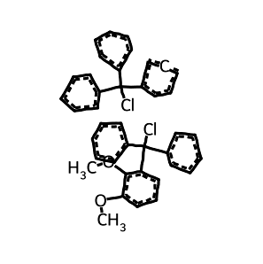 COc1cccc(C(Cl)(c2ccccc2)c2ccccc2)c1OC.ClC(c1ccccc1)(c1ccccc1)c1ccccc1